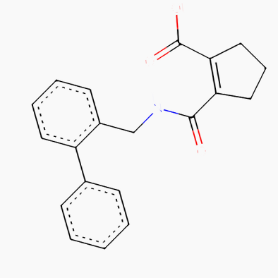 O=C(O)C1=C(C(=O)NCc2ccccc2-c2ccccc2)CCC1